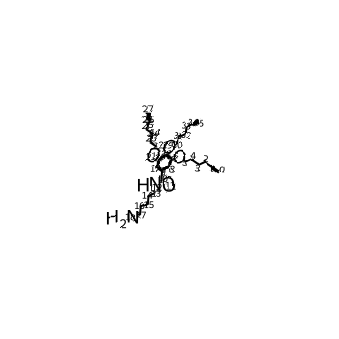 C#CCCCCOc1cc(C(=O)NCCCCCN)cc(OCCCCC#C)c1OCCCCC#C